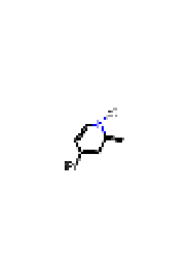 C=C1C=C(C(C)C)C=CN1CC